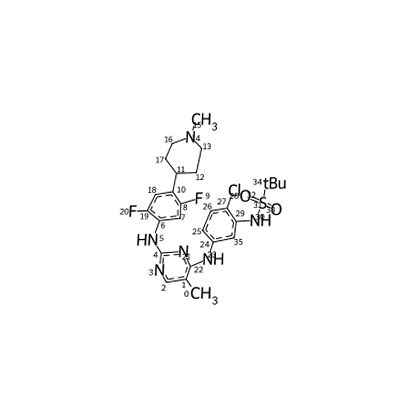 Cc1cnc(Nc2cc(F)c(C3CCN(C)CC3)cc2F)nc1Nc1ccc(Cl)c(NS(=O)(=O)C(C)(C)C)c1